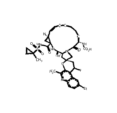 CCc1ccc2nc(C)c3c(c2c1)C(F)C[C@]1(C[C@H]2C(=O)N[C@]4(C(=O)NS(=O)(=O)C5(C)CC5)C[C@H]4C=CCCCCC[C@H](NC(=O)O)C(=O)N2C1)O3